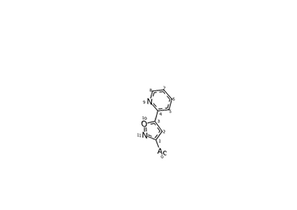 CC(=O)c1cc(-c2ccccn2)on1